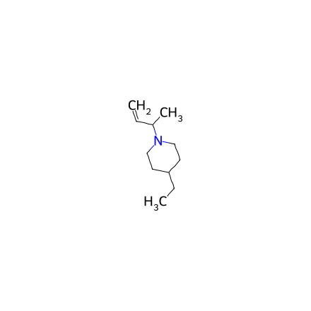 C=CC(C)N1CCC(CC)CC1